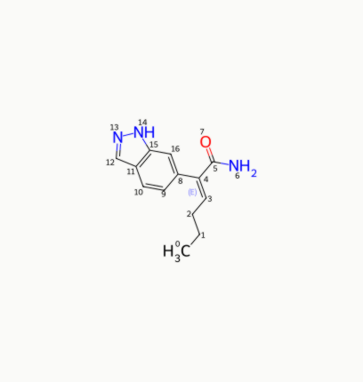 CCC/C=C(/C(N)=O)c1ccc2cn[nH]c2c1